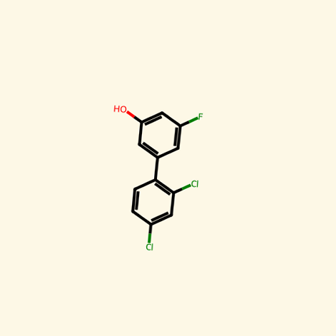 Oc1cc(F)cc(-c2ccc(Cl)cc2Cl)c1